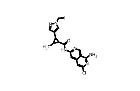 CC1C(C(=O)Nc2cc3cc(Cl)nc(N)c3cn2)C1c1cnn(CI)c1